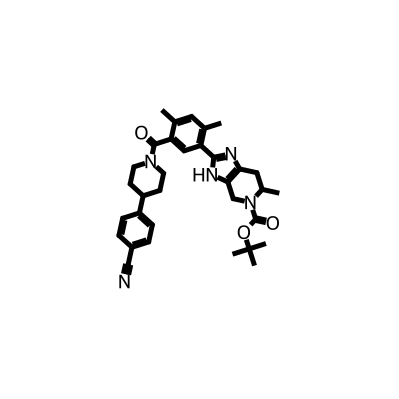 Cc1cc(C)c(-c2nc3c([nH]2)CN(C(=O)OC(C)(C)C)C(C)C3)cc1C(=O)N1CCC(c2ccc(C#N)cc2)CC1